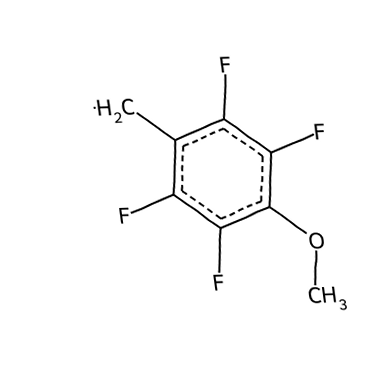 [CH2]c1c(F)c(F)c(OC)c(F)c1F